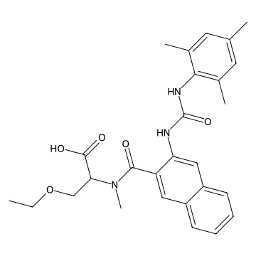 CCOCC(C(=O)O)N(C)C(=O)c1cc2ccccc2cc1NC(=O)Nc1c(C)cc(C)cc1C